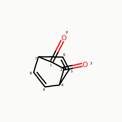 O=C1C(=O)C2C=CC1C=C2